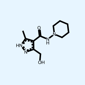 Cc1[nH]nc(CO)c1C(=O)NN1CCCCC1